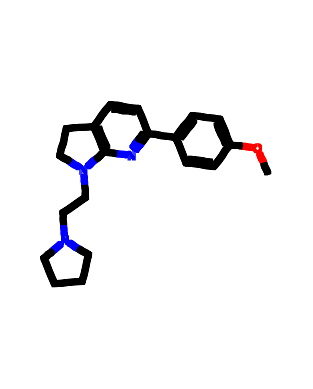 COc1ccc(-c2ccc3c(n2)N(CCN2CCCC2)CC3)cc1